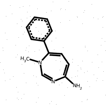 CN1C=NC(N)=CC=C1c1ccccc1